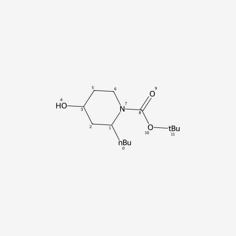 CCCCC1CC(O)CCN1C(=O)OC(C)(C)C